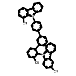 N#Cc1ccc2c(c1)c1ccccc1n2-c1c(C#N)cccc1-c1cccc(-c2ccc(-n3c4ccccc4c4cccc(C#N)c43)cc2)c1